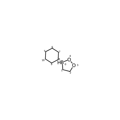 B1CCOO1.C1CCCCC1